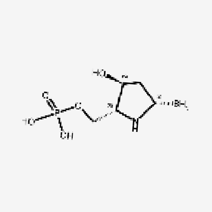 B[C@H]1C[C@H](O)[C@@H](COP(=O)(O)O)N1